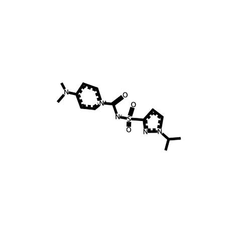 CC(C)n1ccc(S(=O)(=O)[N-]C(=O)[n+]2ccc(N(C)C)cc2)n1